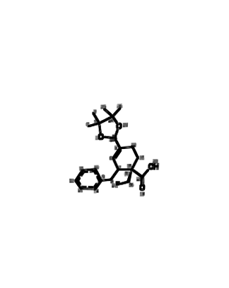 CC1(C)OB(C2=CC(Cc3ccccc3)[C@@](CF)(C(=O)O)CC2)OC1(C)C